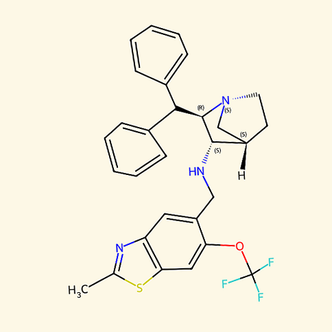 Cc1nc2cc(CN[C@H]3[C@H]4CC[N@](C4)[C@@H]3C(c3ccccc3)c3ccccc3)c(OC(F)(F)F)cc2s1